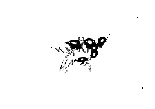 Nc1ccc(Oc2ccc(C3(c4ccc(Oc5ccc(N)cc5C(F)(F)F)cc4)CCCC3)cc2)c(C(F)(F)F)c1